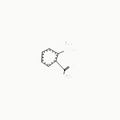 COC(=O)c1ccccc1C(=O)[O-].[Na+]